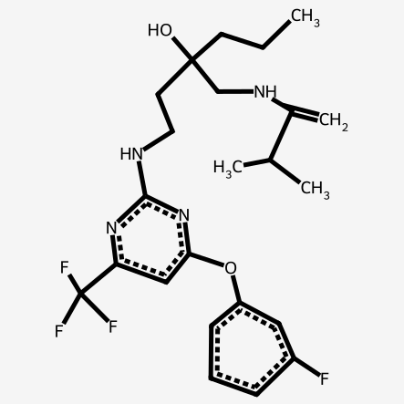 C=C(NCC(O)(CCC)CCNc1nc(Oc2cccc(F)c2)cc(C(F)(F)F)n1)C(C)C